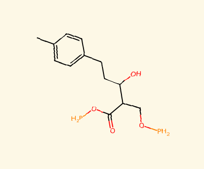 Cc1ccc(CCC(O)C(COP)C(=O)OP)cc1